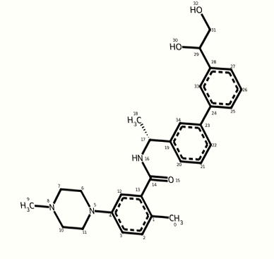 Cc1ccc(N2CCN(C)CC2)cc1C(=O)N[C@H](C)c1cccc(-c2cccc(C(O)CO)c2)c1